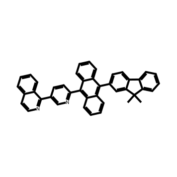 CC1(C)c2ccccc2-c2ccc(-c3c4ccccc4c(-c4ccc(-c5nccc6ccccc56)cn4)c4ccccc34)cc21